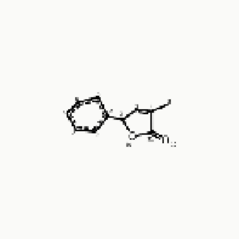 CC1=CC(c2ccccc2)OC1=O